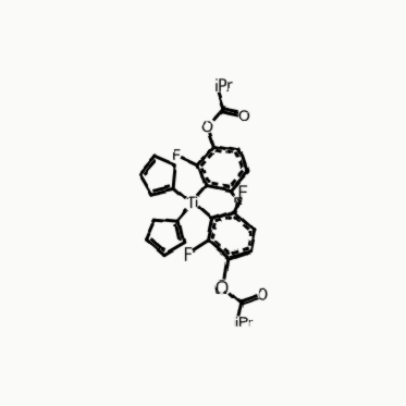 CC(C)C(=O)Oc1ccc(F)[c]([Ti]([C]2=CC=CC2)([C]2=CC=CC2)[c]2c(F)ccc(OC(=O)C(C)C)c2F)c1F